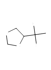 CC(F)(F)C1COCO1